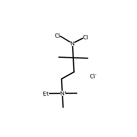 CC[N+](C)(C)CCC(C)(C)N(Cl)Cl.[Cl-]